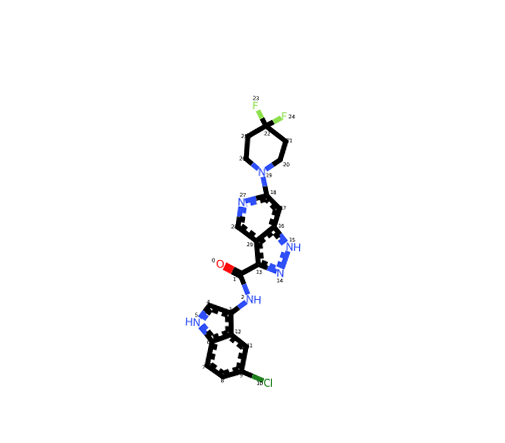 O=C(Nc1c[nH]c2ccc(Cl)cc12)c1n[nH]c2cc(N3CCC(F)(F)CC3)ncc12